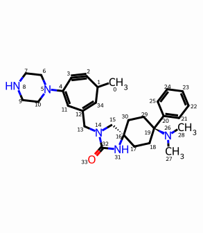 CC1C#CC(N2CCNCC2)=CC(CN2C[C@]3(CC[C@](c4ccccc4)(N(C)C)CC3)NC2=O)=C1